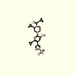 CS(=O)(=O)n1cc(-c2cc(C#N)c(N3CCN(C(=O)C4CC4)C(C4CC4)C3)nc2C2CC2)cn1